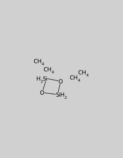 C.C.C.C.O1[SiH2]O[SiH2]1